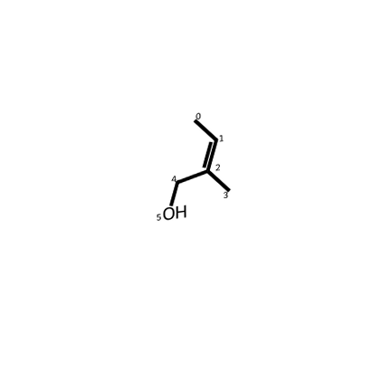 CC=C(C)CO